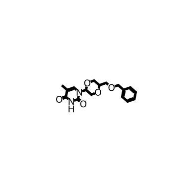 Cc1cn(C2COC(COCc3ccccc3)CO2)c(=O)[nH]c1=O